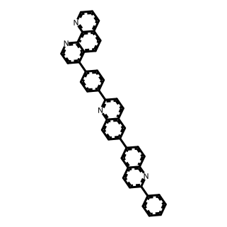 c1ccc(-c2ccc3cc(-c4ccc5nc(-c6ccc(-c7ccnc8c7ccc7cccnc78)cc6)ccc5c4)ccc3n2)cc1